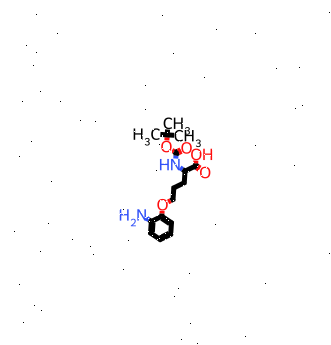 CC(C)(C)OC(=O)NC(CCCOc1ccccc1N)C(=O)O